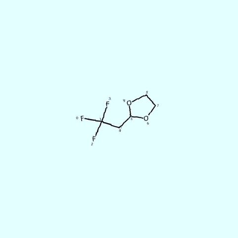 FC(F)(F)[CH]C1OCCO1